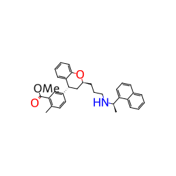 COC(=O)c1cc([C@H]2C[C@H](CCCN[C@H](C)c3cccc4ccccc34)Oc3ccccc32)ccc1C